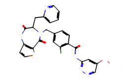 COc1cnnc(NC(=O)c2ccc(CN3C(=O)c4sccc4NC(=O)C3Cc3ccccn3)cc2Cl)c1